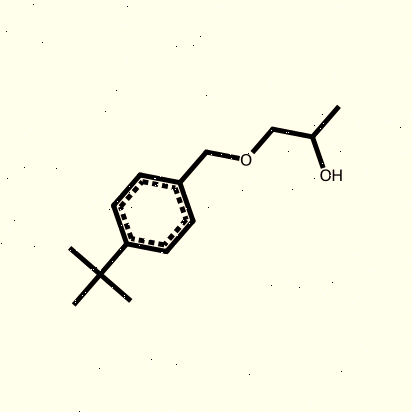 CC(O)COCc1ccc(C(C)(C)C)cc1